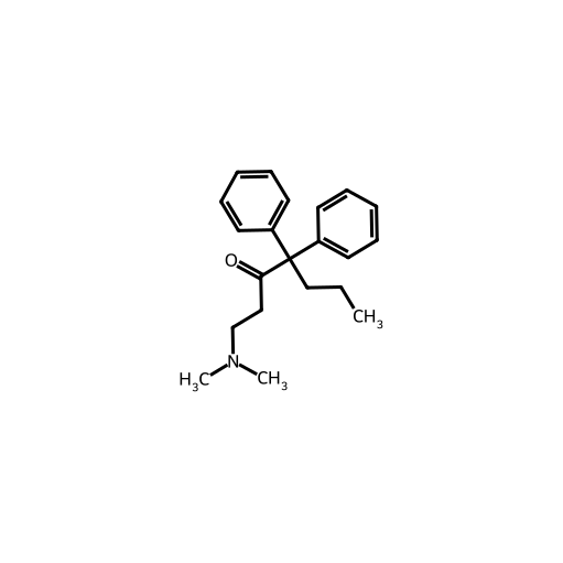 CCCC(C(=O)CCN(C)C)(c1ccccc1)c1ccccc1